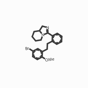 COc1ccc(Br)cc1CCc1ccccc1C1=NCC2CCCCN12